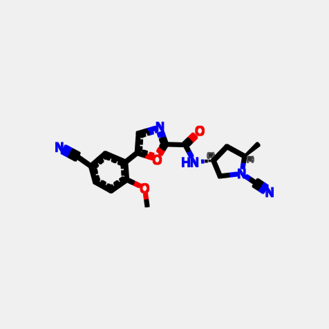 COc1ccc(C#N)cc1-c1cnc(C(=O)N[C@@H]2C[C@@H](C)N(C#N)C2)o1